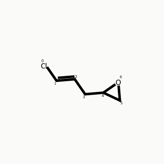 ClC=CCC1CO1